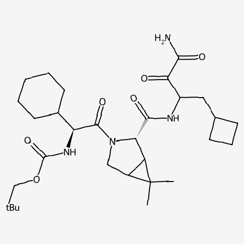 CC(C)(C)COC(=O)N[C@H](C(=O)N1CC2C([C@H]1C(=O)NC(CC1CCC1)C(=O)C(N)=O)C2(C)C)C1CCCCC1